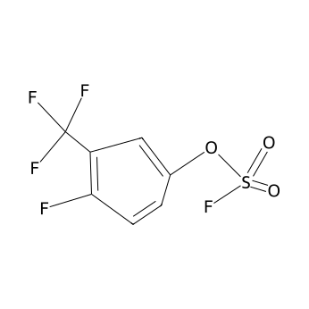 O=S(=O)(F)Oc1ccc(F)c(C(F)(F)F)c1